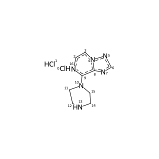 Cl.Cl.c1cn2ncnc2c(N2CCNCC2)n1